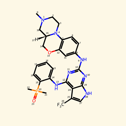 CN1CCN2c3ccc(Nc4nc(Nc5ccccc5P(C)(C)=O)c5c(C(F)(F)F)c[nH]c5n4)cc3OC[C@@H]2C1